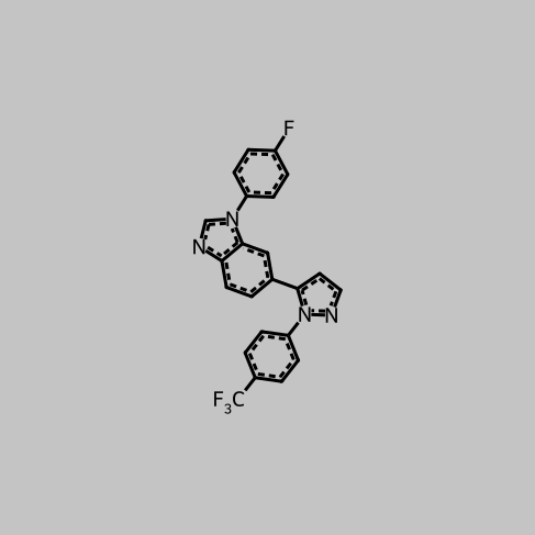 Fc1ccc(-n2cnc3ccc(-c4ccnn4-c4ccc(C(F)(F)F)cc4)cc32)cc1